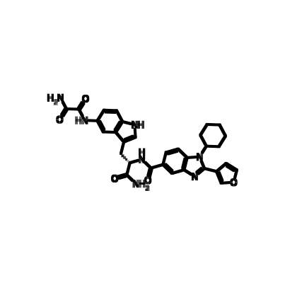 NC(=O)C(=O)Nc1ccc2[nH]cc(C[C@H](NC(=O)c3ccc4c(c3)nc(-c3ccoc3)n4C3CCCCC3)C(N)=O)c2c1